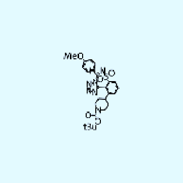 COc1ccc(Cn2nnnc2-c2c(C3CCN(C(=O)OC(C)(C)C)CC3)cccc2S(N)(=O)=O)cc1